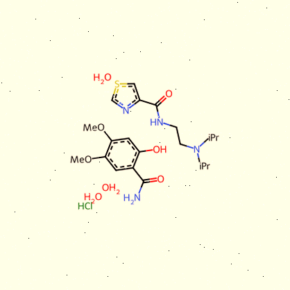 CC(C)N(CCNC(=O)c1cscn1)C(C)C.COc1cc(O)c(C(N)=O)cc1OC.Cl.O.O.O